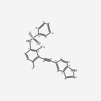 O=S(=O)(Nc1ccc(F)c(C#Cc2cnc3[nH]ncc3c2)c1F)c1ccccc1